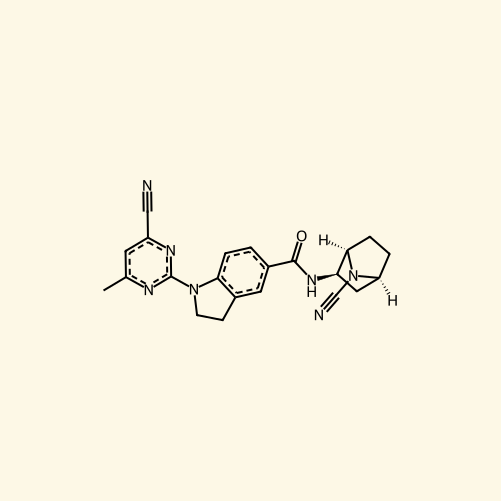 Cc1cc(C#N)nc(N2CCc3cc(C(=O)N[C@@H]4C[C@@H]5CC[C@H]4N5C#N)ccc32)n1